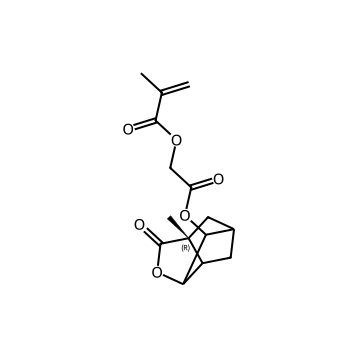 C=C(C)C(=O)OCC(=O)OC1C2CC3C1OC(=O)[C@]3(C)C2